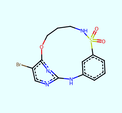 O=S1(=O)NCCCOc2nc(ncc2Br)Nc2cccc1c2